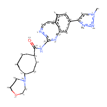 Cn1cc(-c2ccc3cnc(NC(=O)C4CCC(N5CCOCC5)CC4)nc3c2)nn1